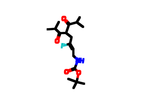 CC(C)C(=O)C(C/C(F)=C/CNC(=O)OC(C)(C)C)C(=O)C(C)C